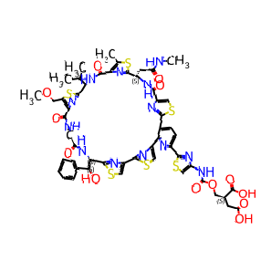 CNC(=O)C[C@@H]1NC(=O)c2csc(n2)-c2ccc(-c3nc(NC(=O)OC[C@H](CC(=O)O)C(=O)O)cs3)nc2-c2csc(n2)-c2csc(n2)[C@H]([C@@H](O)c2ccccc2)NC(=O)CNC(=O)c2nc(sc2COC)C(C(C)C)NC(=O)c2nc1sc2C